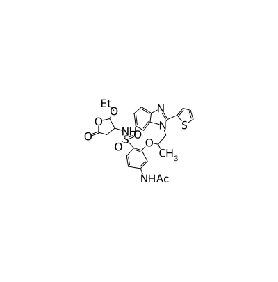 CCOC1OC(=O)CC1NS(=O)(=O)c1ccc(NC(C)=O)cc1OC(C)Cn1c(-c2cccs2)nc2ccccc21